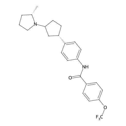 C[C@H]1CCCN1C1CC[C@H](c2ccc(NC(=O)c3ccc(OC(F)(F)F)cc3)cc2)C1